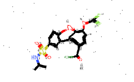 CC(C)NS(=O)(=O)c1ccc2oc3c(OC(F)F)ccc(C(=O)Cl)c3c2c1